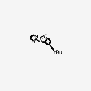 CC(C)(C)C#Cc1ccc2c(c1)CN(Cc1ncccn1)CCO2